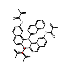 C=C(C)C(=O)Oc1ccc2ccc(OC(=O)C(=C)C)c(C(c3ccc4ccccc4c3)c3c(OC(=O)C(=C)C)ccc4ccc(OC(=O)C(=C)C)cc34)c2c1